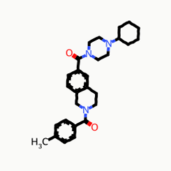 Cc1ccc(C(=O)N2CCc3cc(C(=O)N4CCN(C5CCCCC5)CC4)ccc3C2)cc1